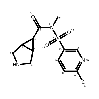 CN(C(=O)C1C2CNCC21)S(=O)(=O)c1ccc(Cl)nc1